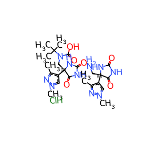 Cc1nn(C)cc1[C@]1(CN(C(=O)O)C(C)(C)C)NC(=O)NC1=O.Cc1nn(C)cc1[C@]1(CN)NC(=O)NC1=O.Cl